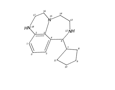 c1cc2c3c(c1)C(C1CCCC1)NCCN3CCN2